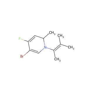 CC(C)=C(C)N1C=C(Br)C(F)=CC1C